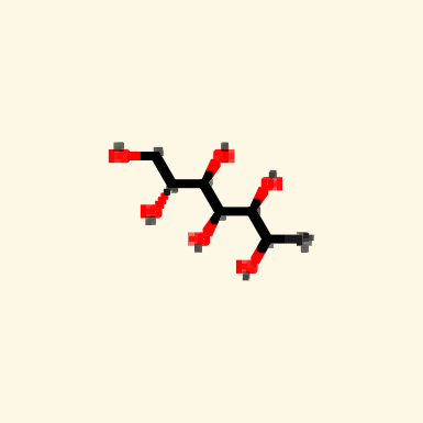 CC(C)C(O)[C@H](O)[C@@H](O)[C@H](O)[C@H](O)CO